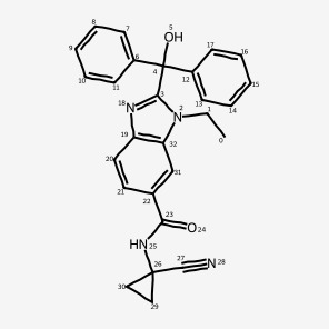 CCn1c(C(O)(c2ccccc2)c2ccccc2)nc2ccc(C(=O)NC3(C#N)CC3)cc21